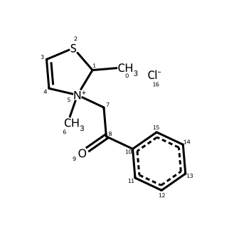 CC1SC=C[N+]1(C)CC(=O)c1ccccc1.[Cl-]